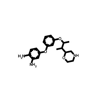 CC(Oc1cccc(Oc2ccc(N)c(N)c2)c1)C(C)C1CNCCO1